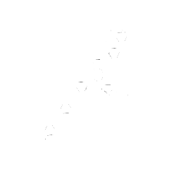 Cc1cc(C(=O)N2Cc3cc4c(cc3CC2C(=O)NC(Cc2ccc(-c3ccnc(C)c3C)cc2)C(=O)O)OCC(c2ccc(OCc3ccc(Cl)c(Cl)c3)cc2)O4)n(C)n1